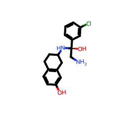 NC[C@](O)(NC1CCc2ccc(O)cc2C1)c1cccc(Cl)c1